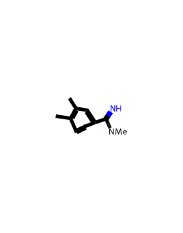 CNC(=N)c1ccc(C)c(C)c1